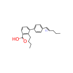 CCC/C=C/c1ccc(-c2cccc(C(=O)O)c2CCCC)cc1